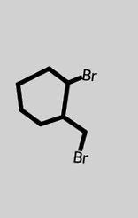 BrCC1CCCCC1Br